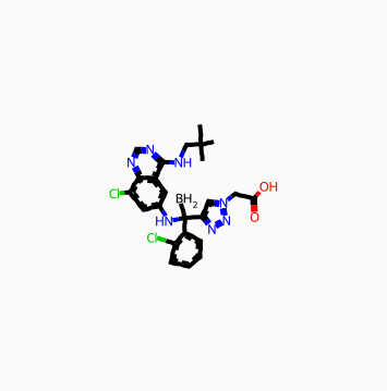 BC(Nc1cc(Cl)c2ncnc(NCC(C)(C)C)c2c1)(c1cn(CC(=O)O)nn1)c1ccccc1Cl